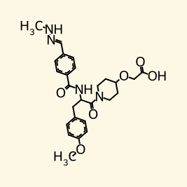 CNN=Cc1ccc(C(=O)NC(Cc2ccc(OC)cc2)C(=O)N2CCC(OCC(=O)O)CC2)cc1